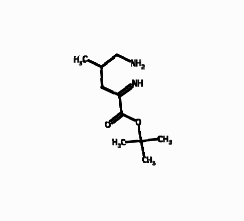 CC(CN)CC(=N)C(=O)OC(C)(C)C